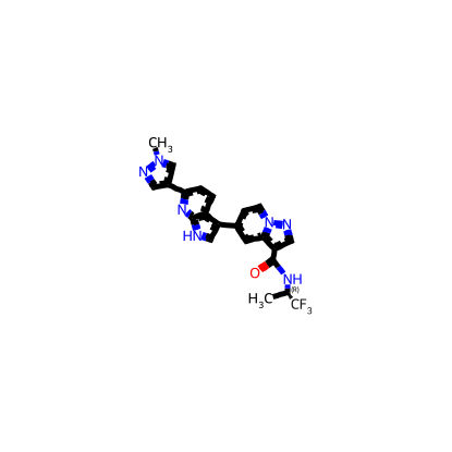 C[C@@H](NC(=O)c1cnn2ccc(-c3c[nH]c4nc(-c5cnn(C)c5)ccc34)cc12)C(F)(F)F